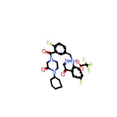 O=C1C=N[N+](Cc2ccc(F)c(C(=O)N3CCN(C4CCCCC4)C(=O)C3)c2)(OC(=O)C(F)(F)F)c2ccc(F)cc21